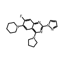 Fc1cc2nc(-n3cccn3)nc(N3CCCC3)c2cc1N1CCCCC1